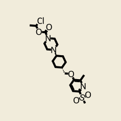 Cc1nc(S(C)(=O)=O)ccc1OC[C@H]1CC[C@H](N2CCN(C(=O)OC(C)Cl)CC2)CC1